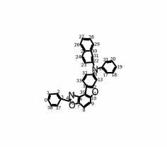 c1ccc(-c2nc3c(ccc4oc5cc(N(c6ccccc6)c6ccc7ccccc7c6)ccc5c43)o2)cc1